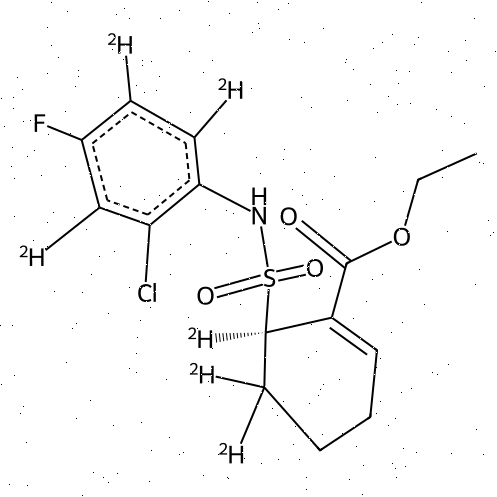 [2H]c1c([2H])c(NS(=O)(=O)[C@@]2([2H])C(C(=O)OCC)=CCCC2([2H])[2H])c(Cl)c([2H])c1F